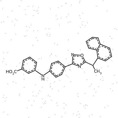 CC(c1nc(-c2ccc(Nc3cccc(C(=O)O)c3)cc2)no1)c1cccc2ccccc12